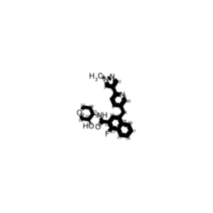 Cn1cc(-c2ccc(Cc3cc(C(=O)N[C@H]4CCOC[C@@H]4O)c(F)c4ccccc34)cn2)cn1